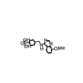 COc1cccc2c(NCc3ccc(P(=O)(O)O)cc3)ncnc12